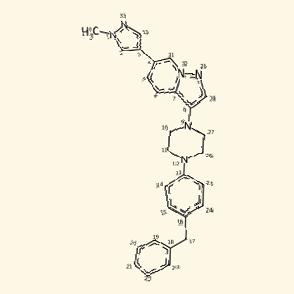 Cn1cc(-c2ccc3c(N4CCN(c5ccc(Cc6ccccc6)cc5)CC4)cnn3c2)cn1